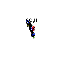 O=C(O)N1CCc2sc3cc(-n4ccc(OCc5ccc(F)cn5)cc4=O)ccc3c2CC1